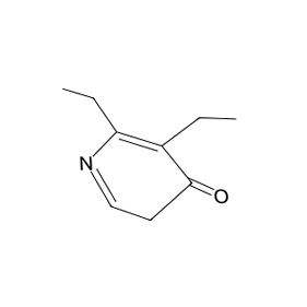 CCC1=C(CC)C(=O)CC=N1